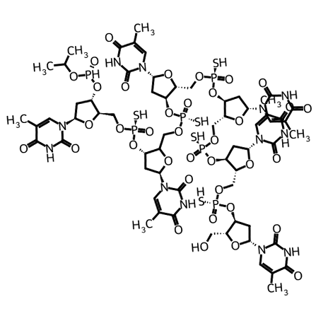 Cc1cn([C@H]2C[C@H](O[P@](=O)(S)OC[C@H]3O[C@@H](n4cc(C)c(=O)[nH]c4=O)C[C@@H]3O[PH](=O)OC(C)C)C(CO[P@@](=O)(S)O[C@H]3C[C@H](n4cc(C)c(=O)[nH]c4=O)O[C@@H]3CO[P@@](=O)(S)O[C@H]3C[C@H](n4cc(C)c(=O)[nH]c4=O)O[C@@H]3CO[P@@](=O)(S)O[C@H]3C[C@H](n4cc(C)c(=O)[nH]c4=O)O[C@@H]3CO[P@@](=O)(S)O[C@H]3C[C@H](n4cc(C)c(=O)[nH]c4=O)O[C@@H]3CO)O2)c(=O)[nH]c1=O